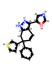 C1=CC(c2ccccc2)(c2ccsc2)Cc2[nH]nc(-c3cnco3)c21